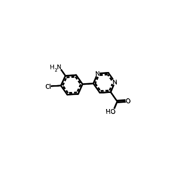 Nc1cc(-c2cc(C(=O)O)ncn2)ccc1Cl